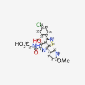 COc1ccc(-c2nc(C(=O)NCC(=O)O)c(O)c3c(-c4ccc(Cl)cc4)nsc23)cn1